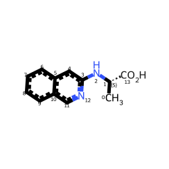 C[C@H](Nc1cc2ccccc2cn1)C(=O)O